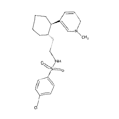 CN1C=C([C@@H]2CCCC[C@H]2CCNS(=O)(=O)c2ccc(Cl)cc2)C=CC1